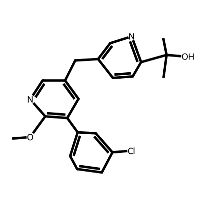 COc1ncc(Cc2ccc(C(C)(C)O)nc2)cc1-c1cccc(Cl)c1